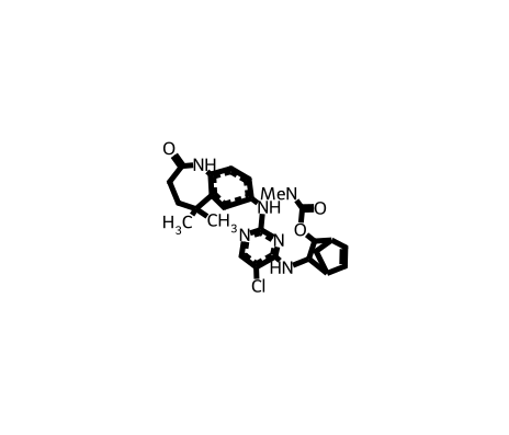 CNC(=O)OC1C2C=CC(C2)C1Nc1nc(Nc2ccc3c(c2)C(C)(C)CCC(=O)N3)ncc1Cl